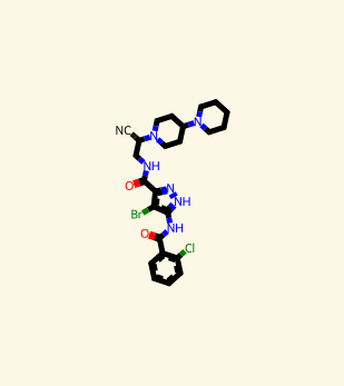 N#CC(CNC(=O)c1n[nH]c(NC(=O)c2ccccc2Cl)c1Br)N1CCC(N2CCCCC2)CC1